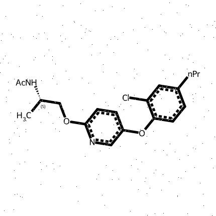 CCCc1ccc(Oc2ccc(OC[C@H](C)NC(C)=O)nc2)c(Cl)c1